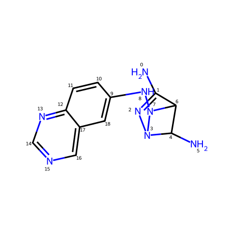 NC1=NN2C(N)C1N2Nc1ccc2ncncc2c1